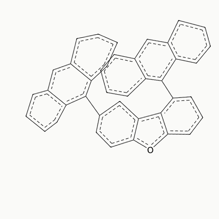 c1ccc2c(-c3ccc4oc5cccc(-c6c7ccccc7cc7ccccc67)c5c4c3)c3ccccc3cc2c1